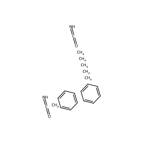 C.C.C.C.C.C.N=C=O.N=C=O.c1ccccc1.c1ccccc1